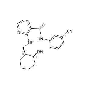 N#Cc1cccc(NC(=O)c2cccnc2NC[C@@H]2CCCC[C@@H]2O)c1